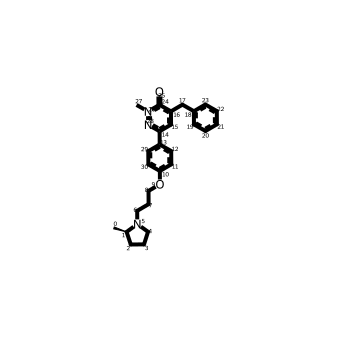 C[C@@H]1CCCN1CCCOc1ccc(-c2cc(Cc3ccccc3)c(=O)n(C)n2)cc1